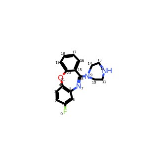 Fc1ccc2c(c1)N=C(N1CCNCC1)c1ccccc1O2